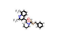 O[C@H](c1cc(C(F)(F)F)nc2c(C(F)(F)F)cccc12)[C@H]1CCCCN1C(=S)SCc1ccccc1